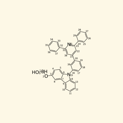 OBOc1ccc2c(c1)c1ccccc1n2-c1cccc(-c2cc(-c3ccccc3)nc(-c3ccccc3)c2)c1